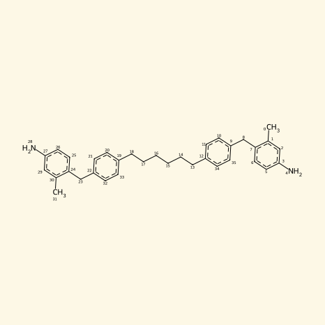 Cc1cc(N)ccc1Cc1ccc(CCCCCCc2ccc(Cc3ccc(N)cc3C)cc2)cc1